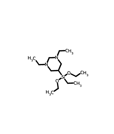 CCO[Si](CC)(OCC)C1CN(CC)CN(CC)C1